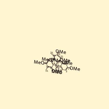 COc1cc(OC)c([Si](Cl)(c2c(OC)cc(OC)c(C)c2OC)c2c(OC)cc(OC)c(C)c2OC)c(OC)c1C